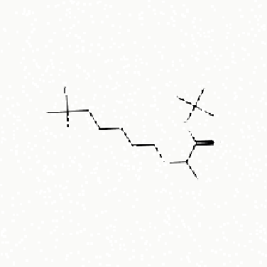 CC(SCCCCCC(C)(F)F)C(=O)OC(C)(C)C